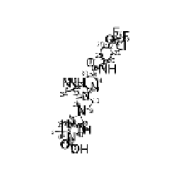 CC(C)(C)C1[C@@H]2CC(N3CCN(c4ncc(C(=O)Nc5ccc(OC(F)(F)Cl)cc5)cc4-c4ccn[nH]4)CC3)C[C@@H]2CN1C(=O)O